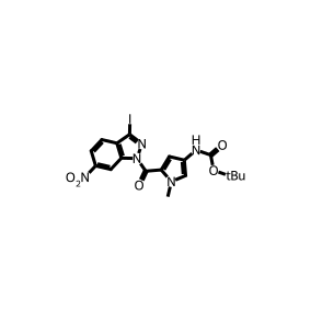 Cn1cc(NC(=O)OC(C)(C)C)cc1C(=O)n1nc(I)c2ccc([N+](=O)[O-])cc21